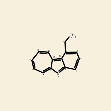 CCc1cccc2nc3cccccc-3c12